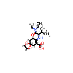 CCN(CC)C(=O)C(NC1=C(C(=O)O)CC2(CC1)OCCO2)C(C)C